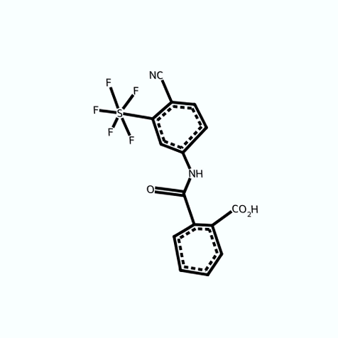 N#Cc1ccc(NC(=O)c2ccccc2C(=O)O)cc1S(F)(F)(F)(F)F